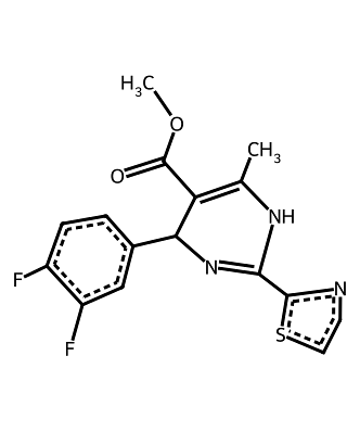 COC(=O)C1=C(C)NC(c2nccs2)=NC1c1ccc(F)c(F)c1